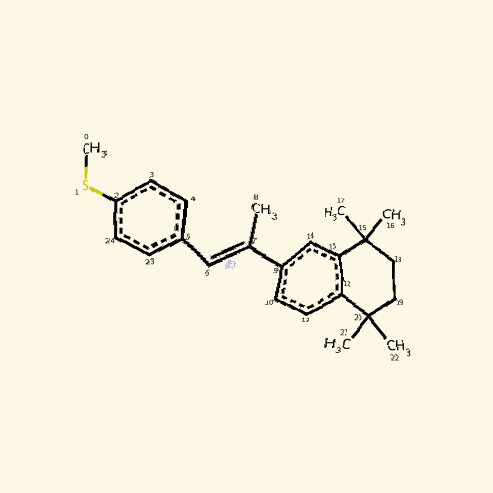 CSc1ccc(/C=C(\C)c2ccc3c(c2)C(C)(C)CCC3(C)C)cc1